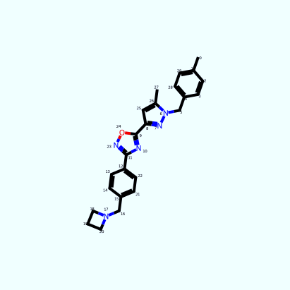 Cc1ccc(Cn2nc(-c3nc(-c4ccc(CN5CCC5)cc4)no3)cc2C)cc1